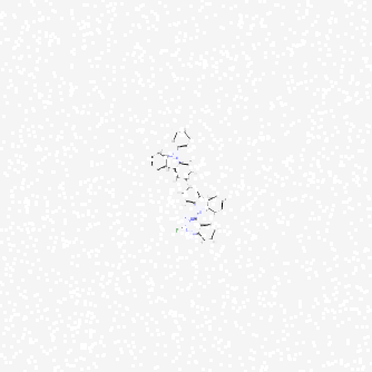 Clc1nc(-n2c3ccccc3c3cc(-c4ccc5c(c4)c4ccccc4n5-c4ccccc4)ccc32)c2ccccc2n1